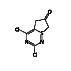 O=C1CC2=C(Cl)N=C(Cl)N=S2C1